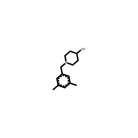 Cc1cc(C)cc(CN2CCC(O)CC2)c1